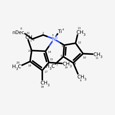 CCCCCCCCCCCC[N+]([Ti])(C1=C(C)C(C)=C(C)C1C)C1=C(C)C(C)=C(C)C1C